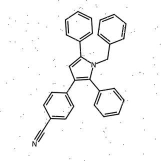 N#Cc1ccc(-c2cc(-c3ccccc3)n(Cc3ccccc3)c2-c2ccccc2)cc1